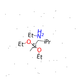 CCN.CCO[Si](C)(CC(C)C)OCC